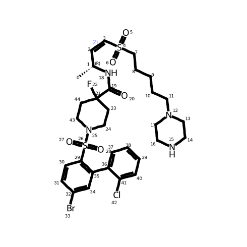 C[C@H](/C=C\S(=O)(=O)CCCCCN1CCNCC1)NC(=O)C1(F)CCN(S(=O)(=O)c2ccc(Br)cc2-c2ccccc2Cl)CC1